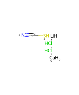 Cl.Cl.N#CS.[CaH2].[LiH]